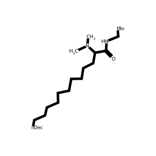 CCCCCCCCCCCCCCCCCCCCC(C(=O)NCC(C)(C)C)N(C)C